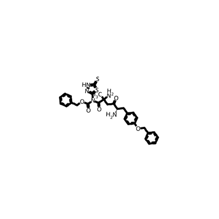 CC(N)(CC(=O)[C@@H](N)Cc1ccc(OCc2ccccc2)cc1)C(=O)N(C(=O)OCc1ccccc1)c1n[nH]c(=S)s1